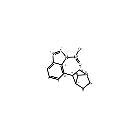 O=[N+]([O-])n1nnc2cccc(C3CN4CCC3C4)c21